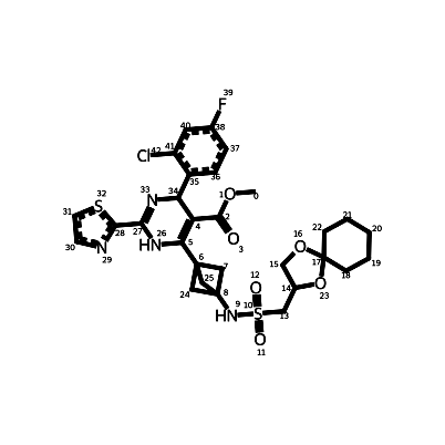 COC(=O)C1=C(C23CC(NS(=O)(=O)CC4COC5(CCCCC5)O4)(C2)C3)NC(c2nccs2)=NC1c1ccc(F)cc1Cl